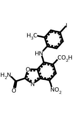 Cc1cc(I)ccc1Nc1c(C(=O)O)cc([N+](=O)[O-])c2nc(C(N)=O)oc12